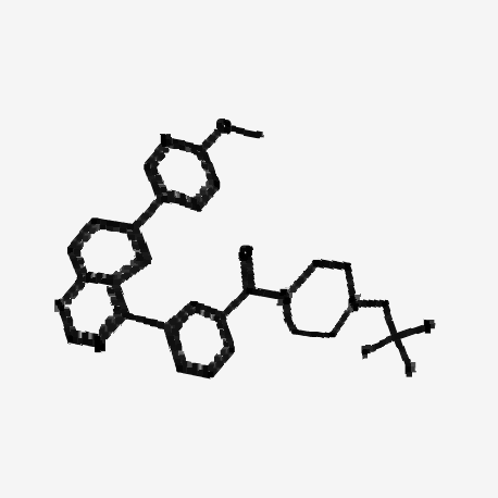 COc1ccc(-c2ccc3ncnc(-c4cccc(C(=O)N5CCN(CC(F)(F)F)CC5)c4)c3c2)cn1